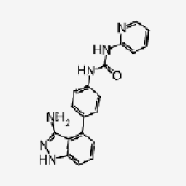 Nc1n[nH]c2cccc(-c3ccc(NC(=O)Nc4ccccn4)cc3)c12